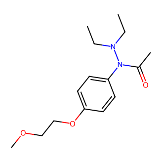 CCN(CC)N(C(C)=O)c1ccc(OCCOC)cc1